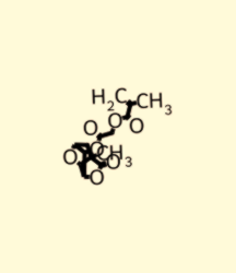 C=C(C)C(=O)OCC(=O)OC1C2CC3(C)C(=O)OC1C3O2